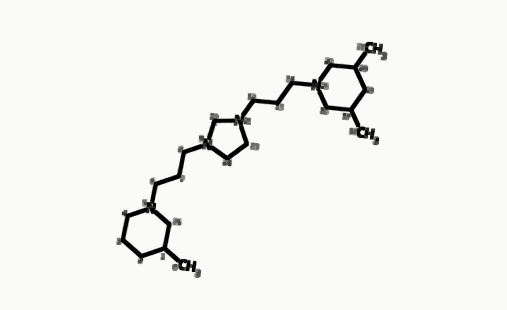 CC1CCCN(CCCN2[C]N(CCCN3CC(C)CC(C)C3)CC2)C1